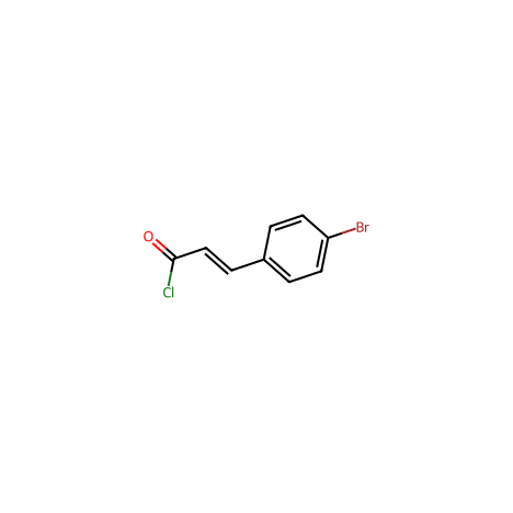 O=C(Cl)C=Cc1ccc(Br)cc1